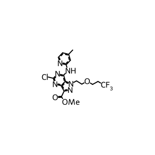 COC(=O)c1nn(CCOCCC(F)(F)F)c2c(Nc3cc(C)ccn3)nc(Cl)nc12